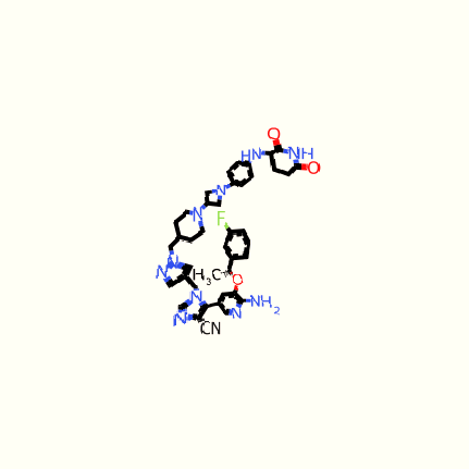 C[C@@H](Oc1cc(-c2c(C#N)ncn2Cc2cnn(CC3CCN(C4CN(c5ccc(NC6CCC(=O)NC6=O)cc5)C4)CC3)c2)cnc1N)c1cccc(F)c1